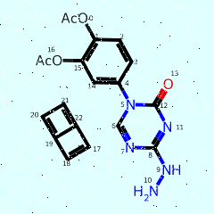 CC(=O)Oc1ccc(-n2cnc(NN)nc2=O)cc1OC(C)=O.c1cc2ccc1-2